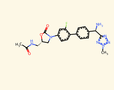 CC(=O)NC[C@H]1CN(c2ccc(-c3ccc([C@@H](N)c4nnn(C)n4)cc3)c(F)c2)C(=O)O1